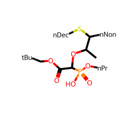 CCCCCCCCCCSC(CCCCCCCCC)C(C)OC(C(=O)OCC(C)(C)C)P(=O)(O)OCCC